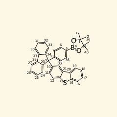 CC1(C)OB(c2ccc(C3(c4ccc5sc6ccccc6c5c4)c4ccccc4-c4ccccc43)cc2)OC1(C)C